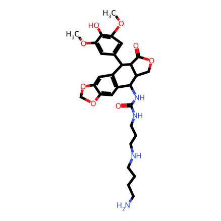 COc1cc(C2c3cc4c(cc3C(NC(=O)NCCCNCCCCN)C3COC(=O)C23)OCO4)cc(OC)c1O